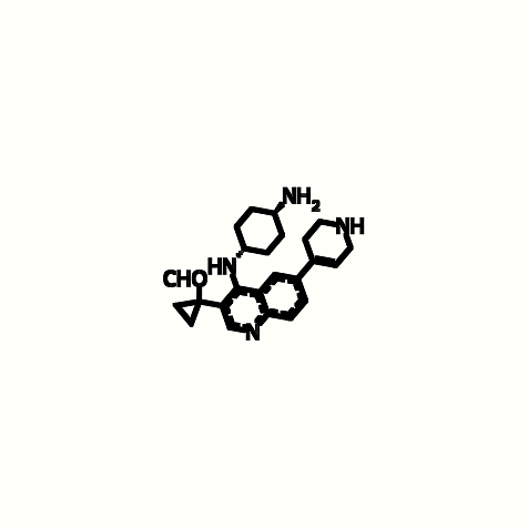 N[C@H]1CC[C@H](Nc2c(C3(C=O)CC3)cnc3ccc(C4=CCNCC4)cc23)CC1